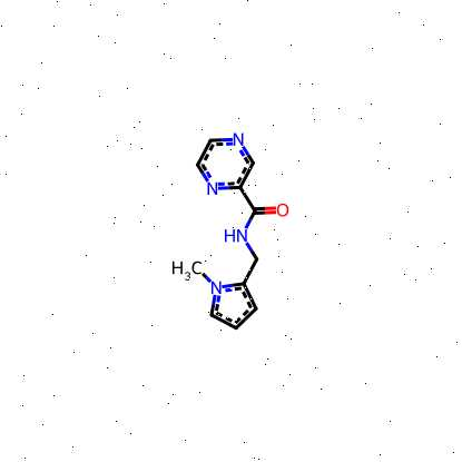 Cn1cccc1CNC(=O)c1cnccn1